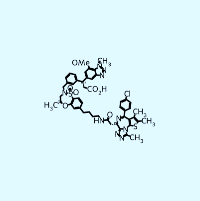 COc1cc([C@@H](CC(=O)O)c2cccc(CN3C[C@@H](C)Oc4cc(CCCCNC(=O)C[C@@H]5N=C(c6ccc(Cl)cc6)c6c(sc(C)c6C)-n6c(C)nnc65)ccc4S3(=O)=O)c2)cc2nnn(C)c12